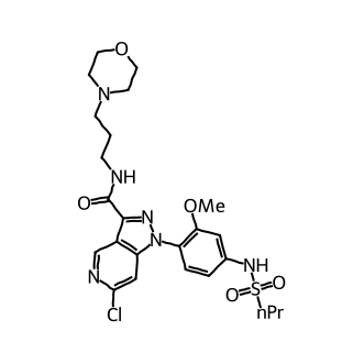 CCCS(=O)(=O)Nc1ccc(-n2nc(C(=O)NCCCN3CCOCC3)c3cnc(Cl)cc32)c(OC)c1